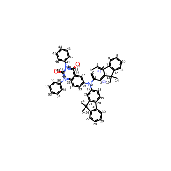 C=C(/C=C1\C(=C/C)c2ccccc2C1(C)C)N(c1ccc2c(c1)C(C)(C)c1ccccc1-2)c1ccc2c(c1)c(=O)n(-c1ccccc1)c(=O)n2-c1ccccc1